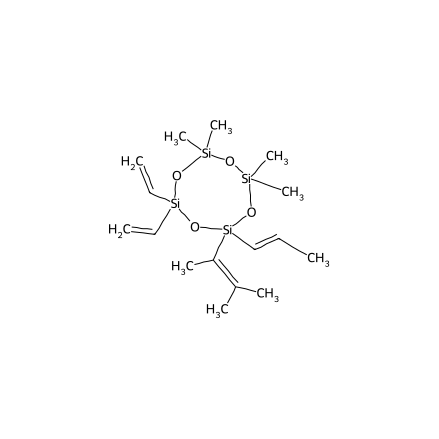 C=C[Si]1(C=C)O[Si](C)(C)O[Si](C)(C)O[Si](C=CC)(C(C)=C(C)C)O1